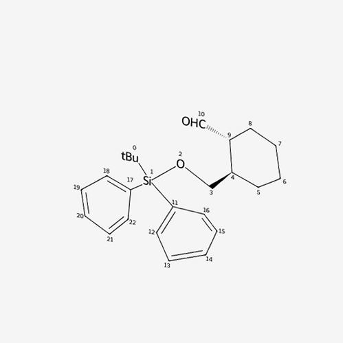 CC(C)(C)[Si](OC[C@@H]1CCCC[C@H]1C=O)(c1ccccc1)c1ccccc1